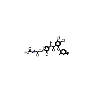 Cc1cc(F)ccc1Oc1cc(Cl)c(Cl)cc1C(=O)Nc1cnn(COC(=O)/C=C/C(=O)O)c(=O)c1